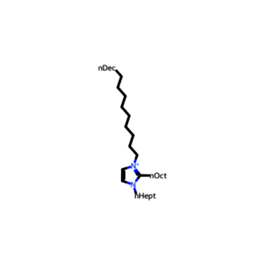 CCCCCCCCCCCCCCCCCCC[n+]1ccn(CCCCCCC)c1CCCCCCCC